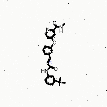 CNC(=O)c1cc(Oc2cccc(/C=C/C(=O)Nc3cccc(C(C)(C)C)c3)c2)ccn1